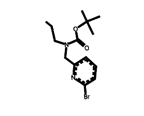 CCCN(Cc1cccc(Br)n1)C(=O)OC(C)(C)C